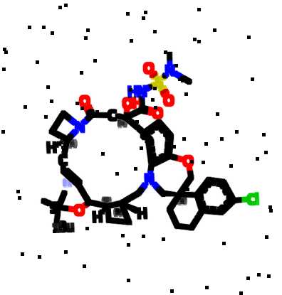 CN(C)S(=O)(=O)NC(=O)[C@@]1(O)CC(=O)N2CC[C@@H]2C/C=C/C(O[Si](C)(C)C(C)(C)C)[C@@H]2CC[C@H]2CN2C[C@@]3(CCCc4cc(Cl)ccc43)COc3ccc1cc32